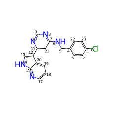 Clc1ccc(CNC2=NC=NC(c3c[nH]c4ncccc34)C2)cc1